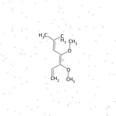 C=C/C(OC)=C(\C=C(C)C)OC